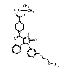 COCCOc1cccc(-n2c(-c3ccccc3)c(C(=O)N3CCN(C(=O)OC(C)(C)C)CC3)[nH]c2=O)c1